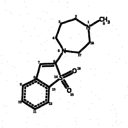 CN1CCCN(C2=Cc3ccccc3S2(=O)=O)CC1